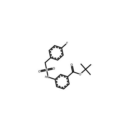 CC(C)(C)OC(=O)c1cccc(NS(=O)(=O)Cc2ccc(F)cc2)c1